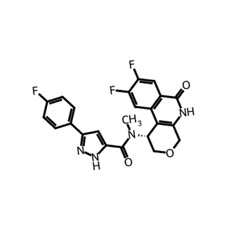 CN(C(=O)c1cc(-c2ccc(F)cc2)n[nH]1)[C@H]1COCc2[nH]c(=O)c3cc(F)c(F)cc3c21